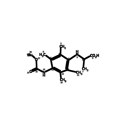 Cc1c(C)c(NC(C)C(=O)O)c(C)c(C)c1NC(=O)OC(C)(C)C